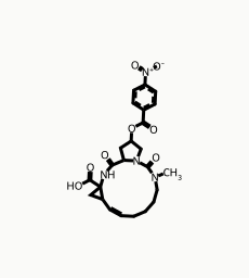 CN1CCCCC=CC2CC2(C(=O)O)NC(=O)C2CC(OC(=O)c3ccc([N+](=O)[O-])cc3)CN2C1=O